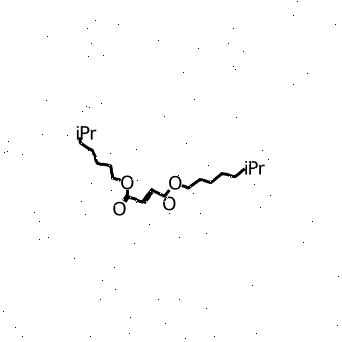 CC(C)CCCCCOC(=O)C=CC(=O)OCCCCCC(C)C